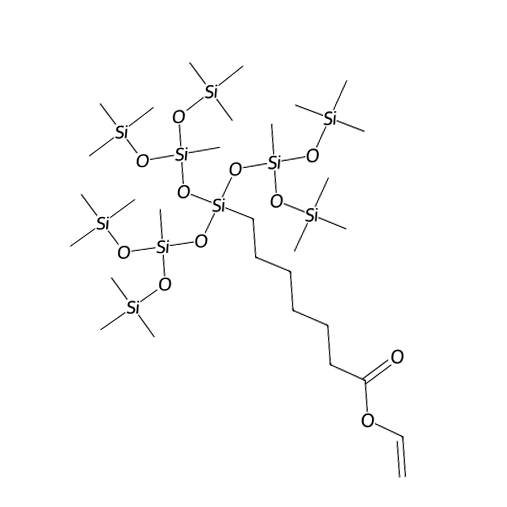 C=COC(=O)CCCCCC[Si](O[Si](C)(O[Si](C)(C)C)O[Si](C)(C)C)(O[Si](C)(O[Si](C)(C)C)O[Si](C)(C)C)O[Si](C)(O[Si](C)(C)C)O[Si](C)(C)C